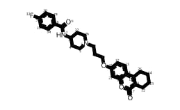 O=C(NC1CCN(CCCOc2ccc3c4c(c(=O)oc3c2)CCCC4)CC1)c1ccc(F)cc1